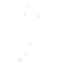 CC(C)N1CCCN(C(C)(C)COC2CN(CC(=O)O)CCN(C(C)C)C2)CC1